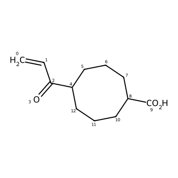 C=CC(=O)C1CCCC(C(=O)O)CCC1